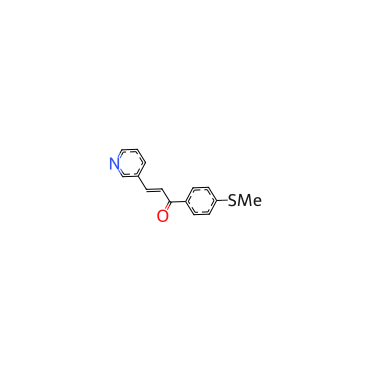 CSc1ccc(C(=O)C=Cc2cccnc2)cc1